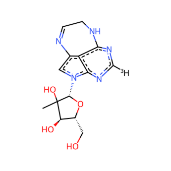 [3H]c1nc2c3c(cn([C@@H]4O[C@H](CO)[C@@H](O)C4(C)O)c3n1)N=CCN2